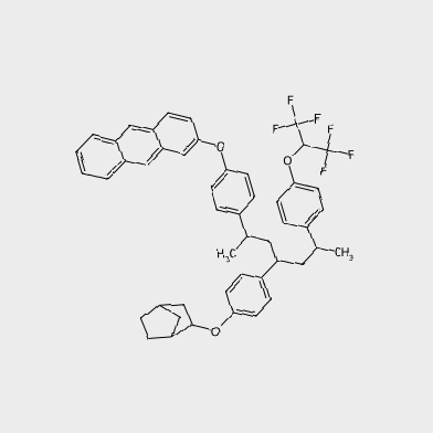 CC(CC(CC(C)c1ccc(OC(C(F)(F)F)C(F)(F)F)cc1)c1ccc(OC2CC3CCC2C3)cc1)c1ccc(Oc2ccc3cc4ccccc4cc3c2)cc1